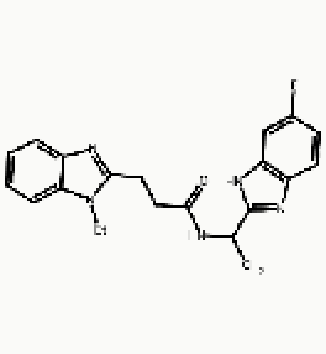 CCn1c(CCC(=O)NC(C)c2nc3ccc(F)cc3[nH]2)nc2ccccc21